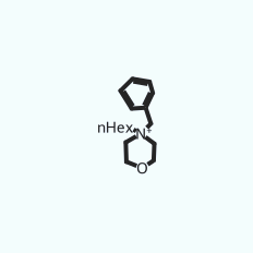 CCCCCC[N+]1(Cc2ccccc2)CCOCC1